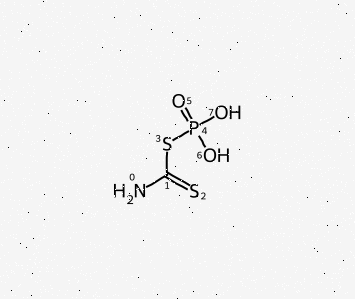 NC(=S)SP(=O)(O)O